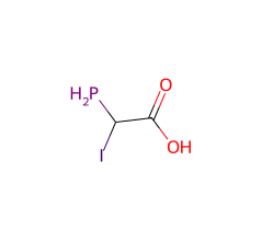 O=C(O)C(P)I